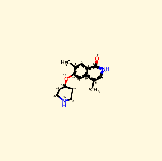 Cc1cc2c(=O)[nH]cc(C)c2cc1OC1CCNCC1